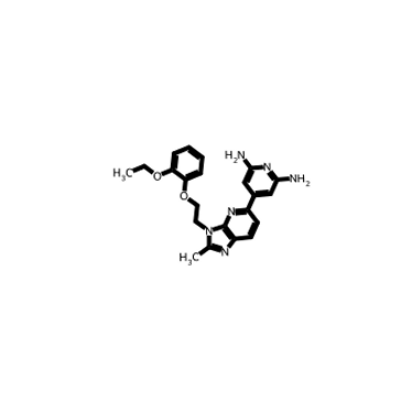 CCOc1ccccc1OCCn1c(C)nc2ccc(-c3cc(N)nc(N)c3)nc21